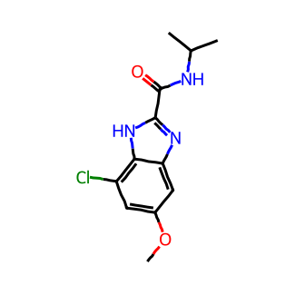 COc1cc(Cl)c2[nH]c(C(=O)NC(C)C)nc2c1